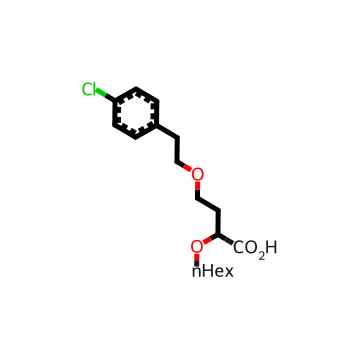 CCCCCCOC(CCOCCc1ccc(Cl)cc1)C(=O)O